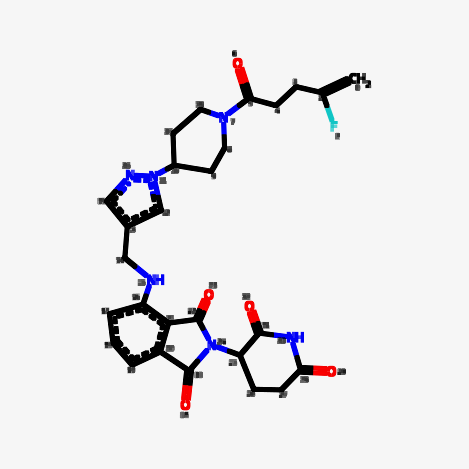 C=C(F)CCC(=O)N1CCC(n2cc(CNc3cccc4c3C(=O)N(C3CCC(=O)NC3=O)C4=O)cn2)CC1